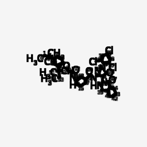 CCC(C)(C)c1ccc(OCC(=O)Nc2cccc(C(=O)NC3=NN(c4c(Cl)cc(Cl)cc4Cl)C(=O)C3n3ncc4ccccc4c3=O)c2)c(C(C)(C)CC)c1